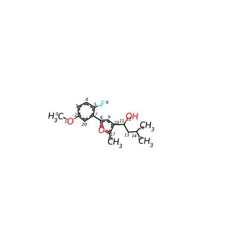 COc1ccc(F)c(-c2cc(C(O)CC(C)C)c(C)o2)c1